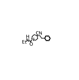 CCNC(=O)N1CCC(C#N)(CCc2ccccc2)CC1